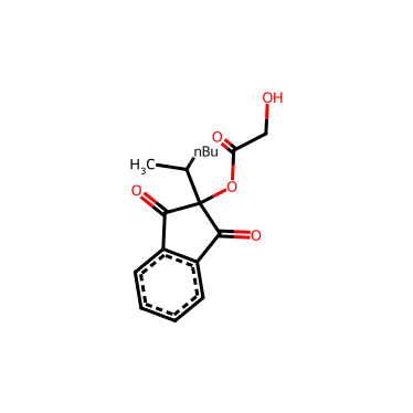 CCCCC(C)C1(OC(=O)CO)C(=O)c2ccccc2C1=O